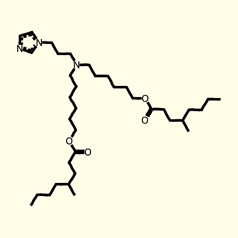 CCCCC(C)CCC(=O)OCCCCCCN(CCCCCCOC(=O)CCC(C)CCCC)CCCn1ccnc1